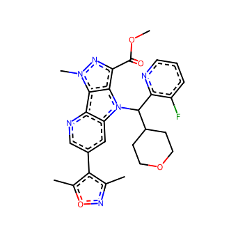 COC(=O)c1nn(C)c2c3ncc(-c4c(C)noc4C)cc3n(C(c3ncccc3F)C3CCOCC3)c12